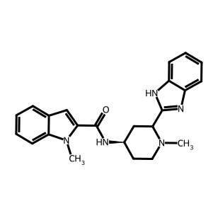 CN1CC[C@@H](NC(=O)c2cc3ccccc3n2C)CC1c1nc2ccccc2[nH]1